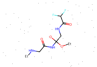 CCNCC(=O)NC([O])(CNC(=O)C(F)F)OCC